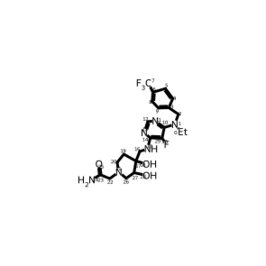 CCN(Cc1ccc(C(F)(F)F)cc1)c1ncnc(NCC2(O)CCN(CC(N)=O)CC2O)c1F